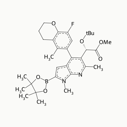 COC(=O)[C@@H](OC(C)(C)C)c1c(C)nc2c(cc(B3OC(C)(C)C(C)(C)O3)n2C)c1-c1cc(F)c2c(c1C)CCCO2